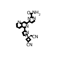 N#CC[C@]1(n2ccc(-c3nc(-c4ccnc(C(N)=O)n4)cc4ncccc34)n2)C[C@H](C#N)C1